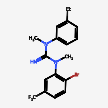 CCc1cccc(N(C)C(=N)N(C)c2cc(C(F)(F)F)ccc2Br)c1